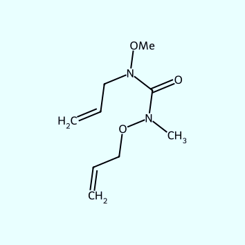 C=CCON(C)C(=O)N(CC=C)OC